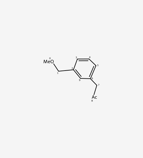 COCc1cccc(CC(C)=O)c1